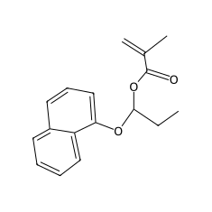 C=C(C)C(=O)OC(CC)Oc1cccc2ccccc12